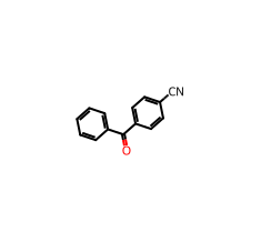 N#Cc1ccc(C(=O)c2ccccc2)cc1